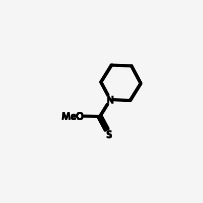 [CH2]OC(=S)N1CCCCC1